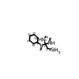 CNC(C[SiH3])(NC)N(C)C1CCCCC1